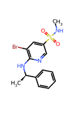 CNS(=O)(=O)c1cnc(N[C@H](C)c2ccccc2)c(Br)c1